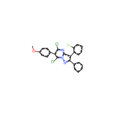 COc1ccc(-c2c(Cl)nc3c(-c4ccccc4F)c(-c4ccccc4)nn3c2Cl)cc1